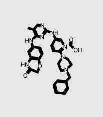 Cc1cnc(Nc2ccc(N3CCN(Cc4ccccc4)CC3)nc2)nc1Nc1ccc2c(c1)NC(=O)CO2.O=CO